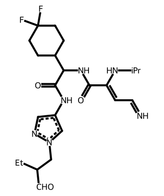 CCC(C=O)Cn1cc(NC(=O)C(NC(=O)/C(=C/C=N)NC(C)C)C2CCC(F)(F)CC2)cn1